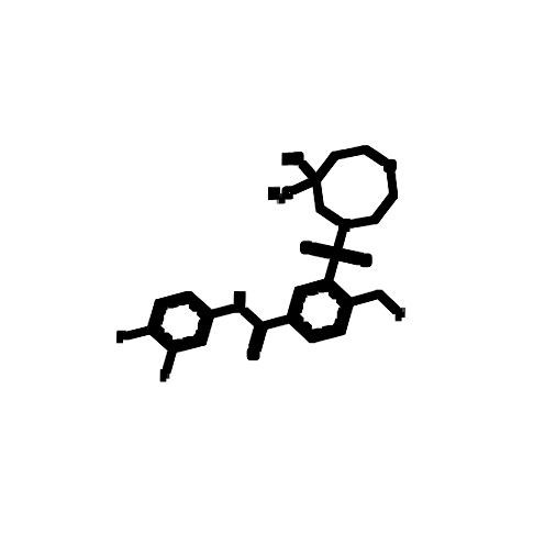 CC1(O)CCOCCN(S(=O)(=O)c2cc(C(=O)Nc3ccc(F)c(F)c3)ccc2CF)C1